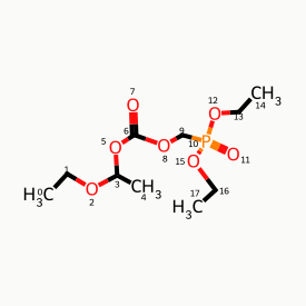 CCOC(C)OC(=O)OCP(=O)(OCC)OCC